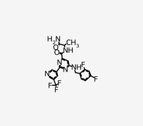 CC(NC(=O)c1cc(NCc2ccc(F)cc2F)nc(-c2cncc(C(F)(F)F)c2)n1)C(N)=O